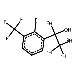 [2H]C([2H])([2H])C([2H])(O)c1cccc(C(F)(F)F)c1F